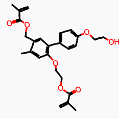 C=C(C)C(=O)OCCOc1cc(C)c(COC(=O)C(=C)C)cc1-c1ccc(OCCO)cc1